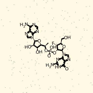 C[C@@H](OP(=O)(O)O[C@@H]1[C@H](F)[C@@H](CO)O[C@H]1n1cnc2c(=O)[nH]c(N)nc21)[C@H]1O[C@@H](n2cnc3c(N)ncnc32)[C@H](O)[C@@H]1O